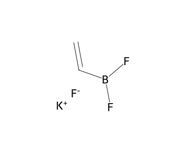 C=CB(F)F.[F-].[K+]